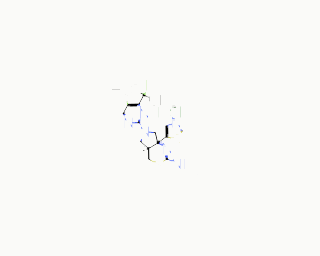 CC(C)(F)c1nc(N2C[C@H]3CSC(N)=NC3(c3cncs3)C2)ncc1F.Cl